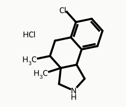 CC1Cc2c(Cl)cccc2C2CNCC12C.Cl